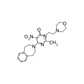 Cc1nc(N2CCc3ccccc3CC2)c([N+](=O)[O-])c(=O)n1CCN1CCOCC1